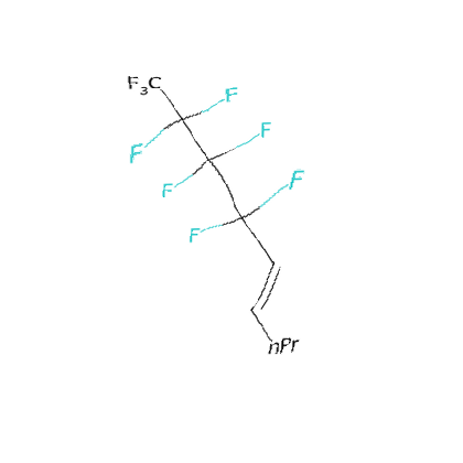 CCCC=CC(F)(F)C(F)(F)C(F)(F)C(F)(F)F